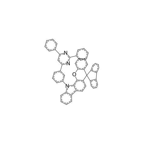 c1ccc(-c2cc(-c3cccc(-n4c5ccccc5c5ccc6c(c54)Oc4ccccc4C64c5ccccc5-c5ccccc54)c3)nc(-c3ccccc3)n2)cc1